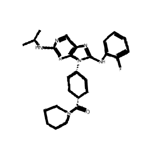 CC(C)Nc1ncc2nc(Nc3ccccc3F)n([C@H]3CC[C@@H](C(=O)N4CCCCC4)CC3)c2n1